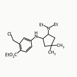 CCOC(=O)c1ccc(NC2CC(C)(C)CC2N(CC)CC)cc1CCl